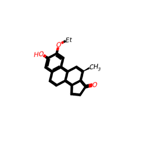 CCOc1cc2c(cc1O)CCC1C2C[C@@H](C)C2C(=O)CCC12